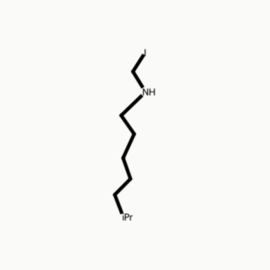 CC(C)CCCCCNCI